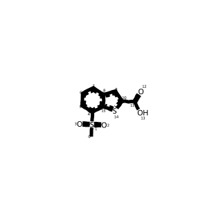 CS(=O)(=O)c1cccc2cc(C(=O)O)sc12